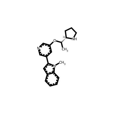 CC(Oc1cncc(-c2cc3ccccc3n2C)c1)[C@@H]1CCCN1